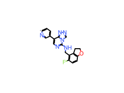 Fc1ccc2c(c1CNc1ncc(-c3cc[c]nc3)c3nncn13)CCO2